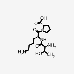 CC(O)[C@H](N)C(=O)N[C@@H](CCCCN)C(=O)N1CCC[C@H]1C(=O)O